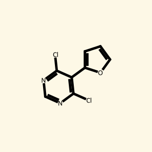 Clc1ncnc(Cl)c1-c1ccco1